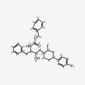 CC1CC(c2ccc(F)cc2)CCN1CC(O)C(Cc1ccccc1)NC(=O)OCc1ccccc1